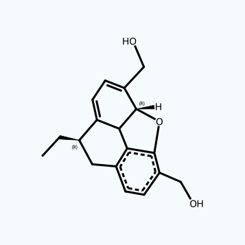 CC[C@@H]1Cc2ccc(CO)c3c2C2C1=CC=C(CO)[C@@H]2O3